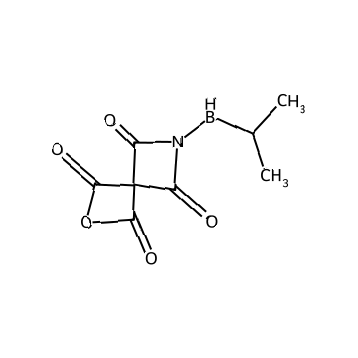 CC(C)BN1C(=O)C2(C(=O)OC2=O)C1=O